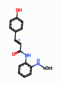 CCCCCCCCNc1ccccc1NC(=O)/C=C/c1ccc(O)cc1